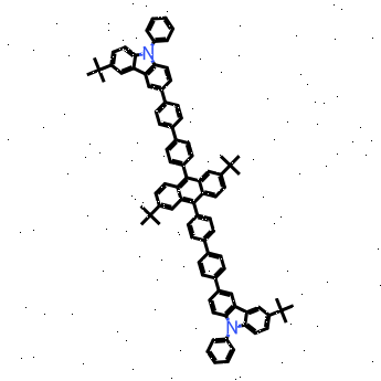 CC(C)(C)c1ccc2c(-c3ccc(-c4ccc(-c5ccc6c(c5)c5cc(C(C)(C)C)ccc5n6-c5ccccc5)cc4)cc3)c3cc(C(C)(C)C)ccc3c(-c3ccc(-c4ccc(-c5ccc6c(c5)c5cc(C(C)(C)C)ccc5n6-c5ccccc5)cc4)cc3)c2c1